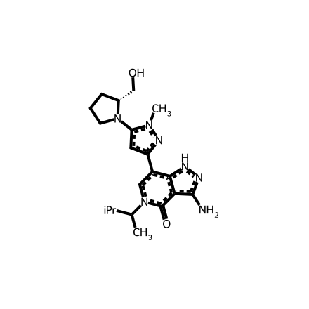 CC(C)C(C)n1cc(-c2cc(N3CCC[C@@H]3CO)n(C)n2)c2[nH]nc(N)c2c1=O